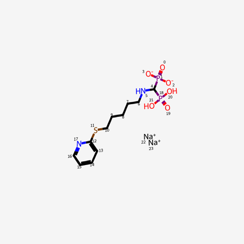 O=P([O-])([O-])C(NCCCCCSc1ccccn1)P(=O)(O)O.[Na+].[Na+]